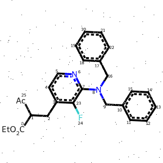 CCOC(=O)C(Cc1ccnc(N(Cc2ccccc2)Cc2ccccc2)c1F)C(C)=O